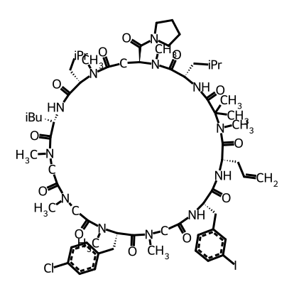 C=CC[C@@H]1NC(=O)[C@H](Cc2cccc(I)c2)NC(=O)CN(C)C(=O)[C@H](Cc2ccc(Cl)cc2)N(C)C(=O)CN(C)C(=O)CN(C)C(=O)[C@H]([C@@H](C)CC)NC(=O)[C@H](CC(C)C)N(C)C(=O)C[C@@H](C(=O)N2CCCC2)N(C)C(=O)[C@H](CC(C)C)NC(=O)C(C)(C)N(C)C1=O